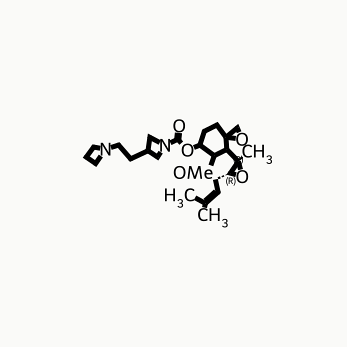 COC1C(OC(=O)N2CC(CCN3CCC3)C2)CCC2(CO2)C1[C@@]1(C)O[C@@H]1CC=C(C)C